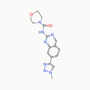 Cn1cc(-c2ccc3cnc(NC(=O)N4CCOCC4)nc3c2)nn1